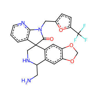 NCC1NCC2(C(=O)N(Cc3ccc(C(F)(F)F)o3)c3ncccc32)c2cc3c(cc21)OCO3